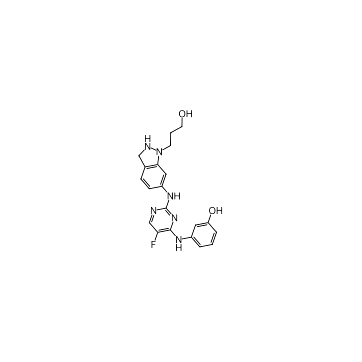 OCCCN1NCc2ccc(Nc3ncc(F)c(Nc4cccc(O)c4)n3)cc21